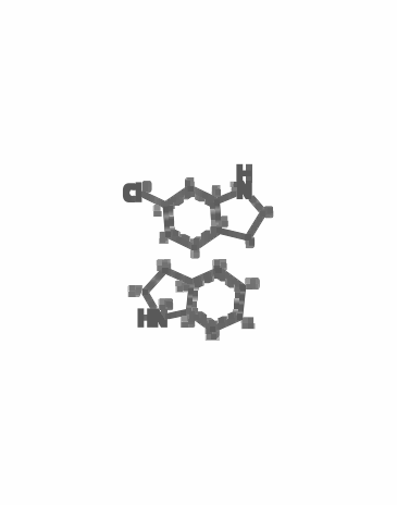 Clc1ccc2c(c1)NCC2.c1ccc2c(c1)CCN2